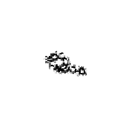 O=C(NO)[C@H]1C[C@H](Oc2ccc3ncccc3c2)CC[C@@H]1C(=O)N1CCC(c2ccccc2)CC1